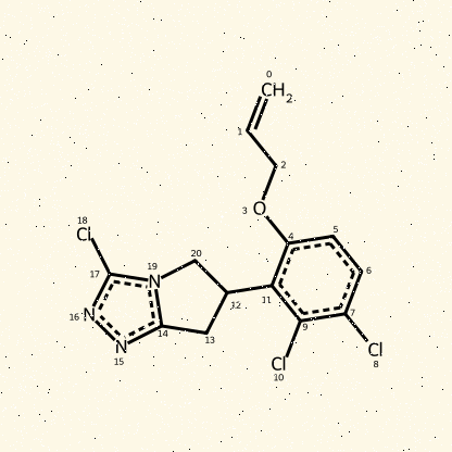 C=CCOc1ccc(Cl)c(Cl)c1C1Cc2nnc(Cl)n2C1